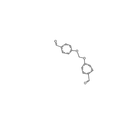 O=Cc1ccc(OCOc2ccc(C=O)cc2)cc1